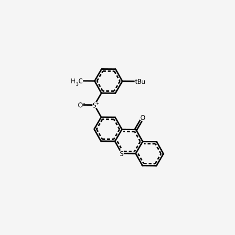 Cc1ccc(C(C)(C)C)cc1[S+]([O-])c1ccc2sc3ccccc3c(=O)c2c1